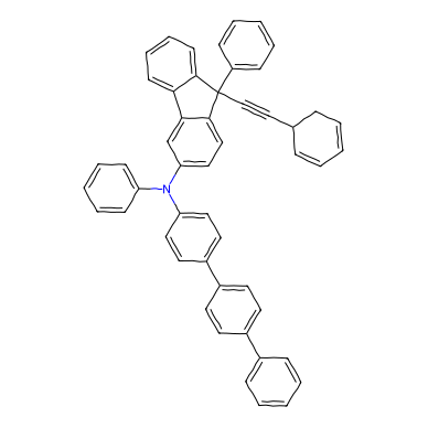 C(#CC1(c2ccccc2)c2ccccc2-c2cc(N(c3ccccc3)c3ccc(-c4ccc(-c5ccccc5)cc4)cc3)ccc21)C1C=CC=CC1